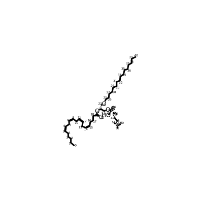 CCCCC/C=C\C/C=C\C/C=C\C/C=C\CCCC(=O)O[C@H](COCCCCCCCCCCCCCCCC)COP(=O)(O)OCC[N+](C)(C)C